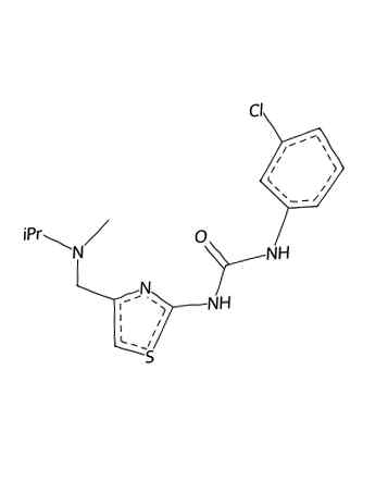 CC(C)N(C)Cc1csc(NC(=O)Nc2cccc(Cl)c2)n1